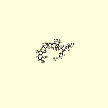 C[C@@H]1S[C@@H]2[C@H](NC(=O)/C(=N\OC(C)(C)C(=O)O)c3csc(N)n3)C(=O)N2C(C(=O)O)=C1C[N+]12CCC(CN3C(=O)c4ccc(O)c(O)c4C3=O)(CC1)CC2